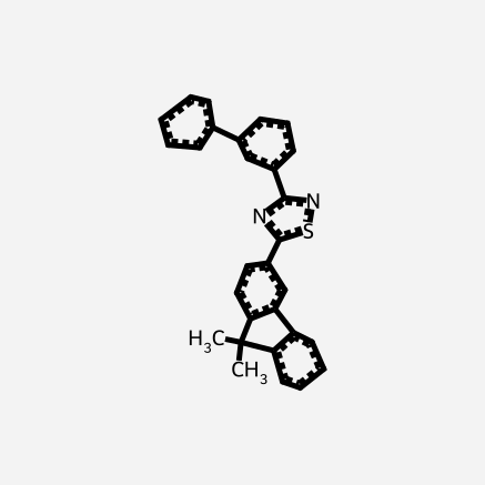 CC1(C)c2ccccc2-c2cc(-c3nc(-c4cccc(-c5ccccc5)c4)ns3)ccc21